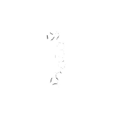 OC(CN1CCC(c2c[nH]c3ccccc23)CC1)C1(O)CCN(C(=S)Nc2ccc(Cl)c(Cl)c2)CC1